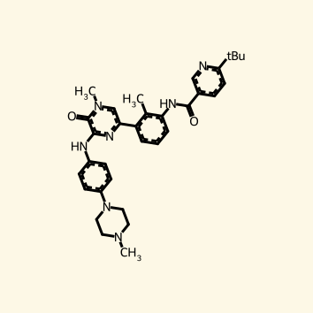 Cc1c(NC(=O)c2ccc(C(C)(C)C)nc2)cccc1-c1cn(C)c(=O)c(Nc2ccc(N3CCN(C)CC3)cc2)n1